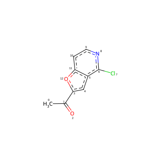 CC(=O)c1cc2c(Cl)nccc2o1